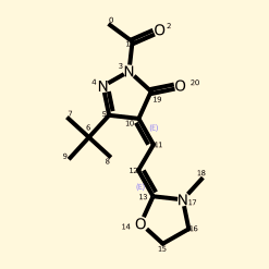 CC(=O)N1N=C(C(C)(C)C)/C(=C\C=C2\OCCN2C)C1=O